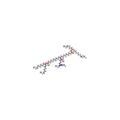 CCCCCCCC(CCCCCC)OC(=O)CCCCCCCCC(CCCCCCCCCC(=O)OC(CCCCCC)CCCCCC)N(C=O)CCCN(C)C